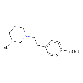 CCCCCCCCc1ccc(CCN2CCCC(CC)C2)cc1